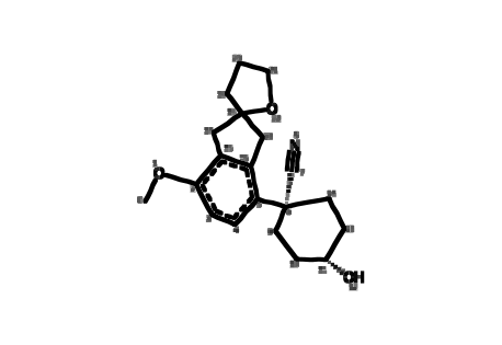 COc1ccc([C@]2(C#N)CC[C@@H](O)CC2)c2c1CC1(CCCO1)C2